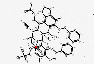 COc1c(C)cc2c(c1OCc1ccccc1)[C@@H]1[C@@H]3C(O)c4c(OCc5ccccc5)c(C)c5c(c4[C@H](COC(C)=O)N3[C@@H](C#N)[C@@H](C2)N1C(=O)OCC(Cl)(Cl)Cl)OCO5